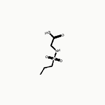 CCCS(=O)(=O)NCC(=O)O